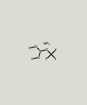 FOB(OF)OC(F)(F)F.N